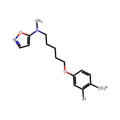 CCc1cc(OCCCCCN(C)c2ccno2)ccc1C(=O)O